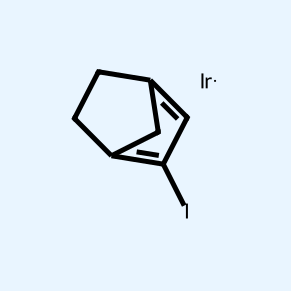 IC1=C2CCC(=C1)C2.[Ir]